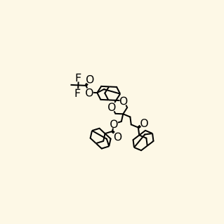 CC(F)(F)C(=O)OC12CC3CC(C1)C1(OCC(CCC(=O)C45CC6CC(CC(C6)C4)C5)(COC(=O)C45CC6CC(CC(C6)C4)C5)CO1)C(C3)C2